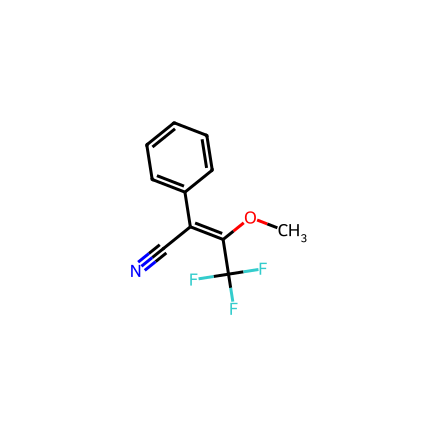 CO/C(=C(/C#N)c1ccccc1)C(F)(F)F